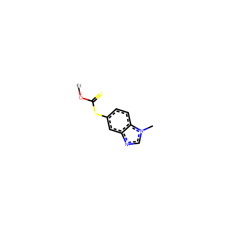 CCOC(=S)Sc1ccc2c(c1)ncn2C